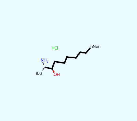 CCCCCCCCCCCCCCC[C@@H](O)[C@@H](N)[C@@H](C)CC.Cl